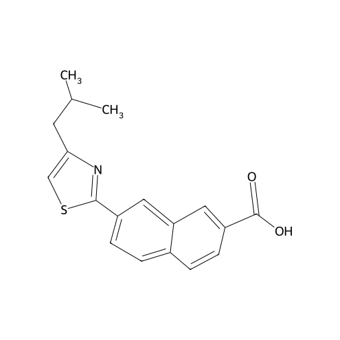 CC(C)Cc1csc(-c2ccc3ccc(C(=O)O)cc3c2)n1